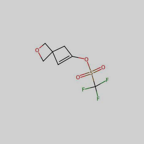 O=S(=O)(OC1=CC2(COC2)C1)C(F)(F)F